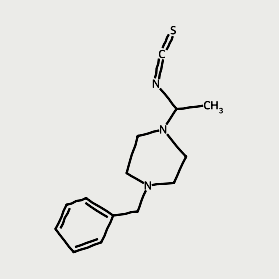 CC(N=C=S)N1CCN(Cc2ccccc2)CC1